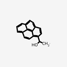 [CH2]C(O)c1ccc2ccc3cccc4ccc1c2c34